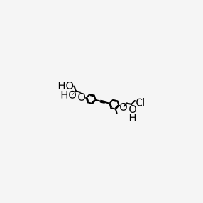 Cc1cc(C#Cc2ccc(OC[C@H](O)CO)cc2)ccc1OC[C@H](O)CCl